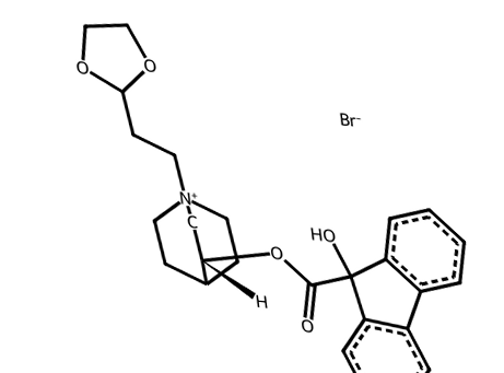 O=C(O[C@H]1C[N+]2(CCC3OCCO3)CCC1CC2)C1(O)c2ccccc2-c2ccccc21.[Br-]